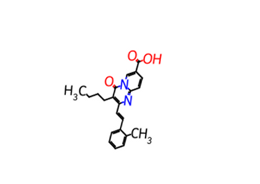 CCCCc1c(C=Cc2ccccc2C)nc2ccc(C(=O)O)cn2c1=O